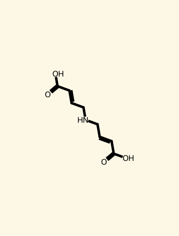 O=C(O)C=CCNCC=CC(=O)O